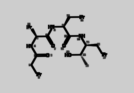 CC(C)CC(=O)N[C@H](C(=O)N[C@@H](CC(C)C)C(=O)N[C@@H](CC(C)C)[C@H](C)O)C(C)C